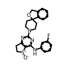 [O-][S+]1CCc2nc(N3CCC4(CC3)OCc3ccccc34)nc(Nc3cccc(F)c3)c21